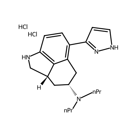 CCCN(CCC)[C@H]1Cc2c(-c3cc[nH]n3)ccc3c2[C@@H](CN3)C1.Cl.Cl